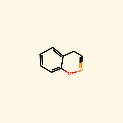 C1=POc2ccccc2C1